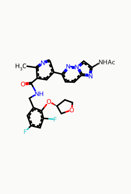 CC(=O)Nc1cn2nc(-c3cnc(C)c(C(=O)NCc4cc(F)cc(F)c4O[C@H]4CCOC4)c3)ccc2n1